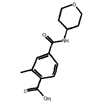 Cc1cc(C(=O)NC2CCOCC2)ccc1C(=O)O